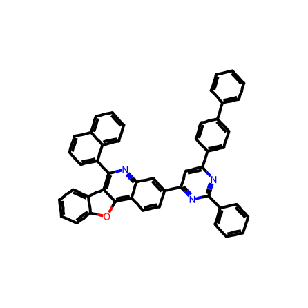 c1ccc(-c2ccc(-c3cc(-c4ccc5c(c4)nc(-c4cccc6ccccc46)c4c6ccccc6oc54)nc(-c4ccccc4)n3)cc2)cc1